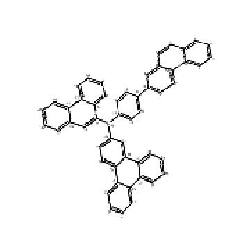 c1ccc2c(c1)ccc1cc(-c3ccc(N(c4ccc5c6ccccc6c6ccccc6c5c4)c4cc5ccccc5c5ccccc45)cc3)ccc12